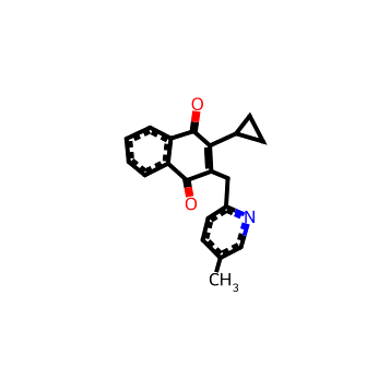 Cc1ccc(CC2=C(C3CC3)C(=O)c3ccccc3C2=O)nc1